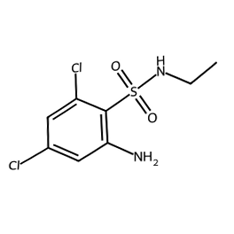 CCNS(=O)(=O)c1c(N)cc(Cl)cc1Cl